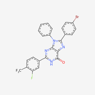 O=c1[nH]c(-c2ccc(C(F)(F)F)c(F)c2)nc2c1nc(-c1ccc(Br)cc1)n2-c1ccccc1